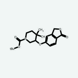 CC(C)(C)OC(=O)N1CCC(C)(C)C(Oc2ccc3c(c2)COC3=O)C1